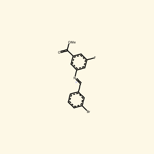 COC(=O)c1cc(F)cc(/N=C/c2cccc(Br)c2)c1